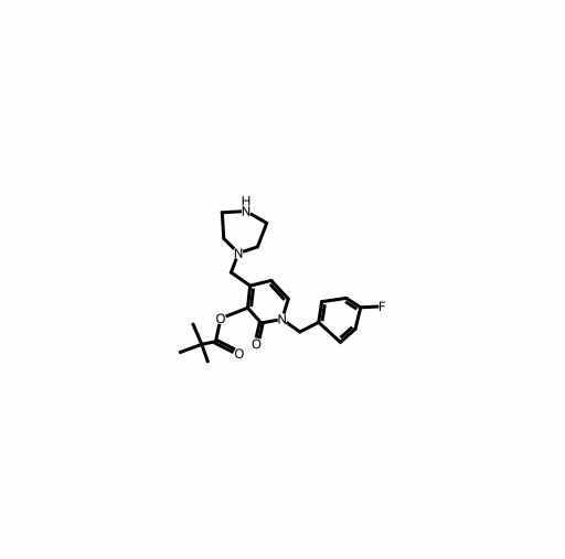 CC(C)(C)C(=O)Oc1c(CN2CCNCC2)ccn(Cc2ccc(F)cc2)c1=O